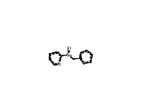 O=[Se](Cc1ccccc1)c1ccccn1